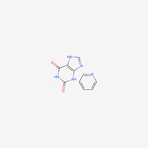 O=c1[nH]c(=O)c2[nH]cnc2[nH]1.c1ccncc1